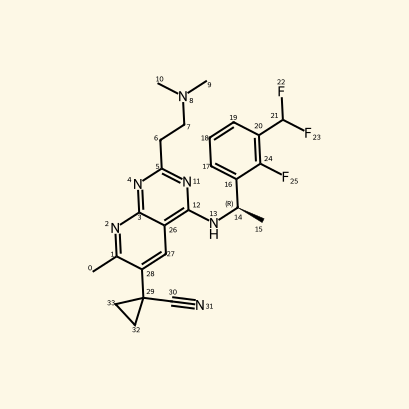 Cc1nc2nc(CCN(C)C)nc(N[C@H](C)c3cccc(C(F)F)c3F)c2cc1C1(C#N)CC1